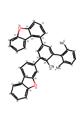 N#Cc1cccc(C#N)c1-c1cc(-c2cccc3oc4ccccc4c23)cc(-c2ccc3c(c2)oc2ccccc23)c1C#N